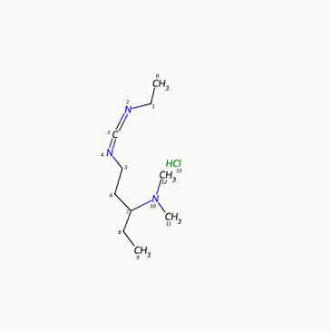 CCN=C=NCCC(CC)N(C)C.Cl